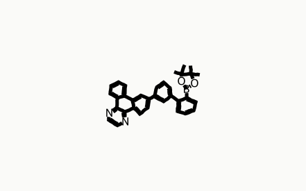 CC1(C)OB(c2ccccc2-c2cccc(-c3ccc4c(c3)c3ccccc3c3nccnc43)c2)OC1(C)C